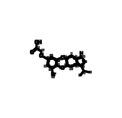 CC(C)c1c[nH]c2ccc(Oc3c(Cl)cc(OCC(=O)O)cc3Br)cc12